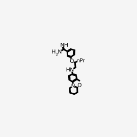 CCCC(CNc1ccc(N2CCCCC2=O)c(C)c1)Oc1cccc(C(=N)N)c1